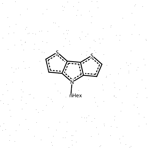 CCCCCCn1c2ccsc2c2sccc21